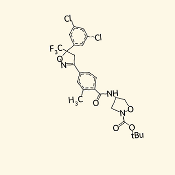 Cc1cc(C2=NOC(c3cc(Cl)cc(Cl)c3)(C(F)(F)F)C2)ccc1C(=O)NC1CON(C(=O)OC(C)(C)C)C1